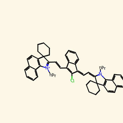 CCCN1/C(=C/C=C2C(Cl)=C(/C=C/C3=[N+](CCC)c4c(ccc5ccccc45)C34CCCCC4)c3ccccc3/2)C2(CCCCC2)c2ccc3ccccc3c21